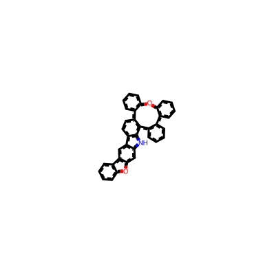 c1ccc2c(c1)oc1cc3[nH]c4c(ccc5c6ccccc6oc6ccccc6c6ccccc6c54)c3cc12